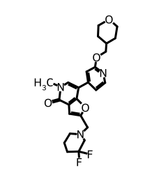 Cn1cc(-c2ccnc(OCC3CCOCC3)c2)c2oc(CN3CCCC(F)(F)C3)cc2c1=O